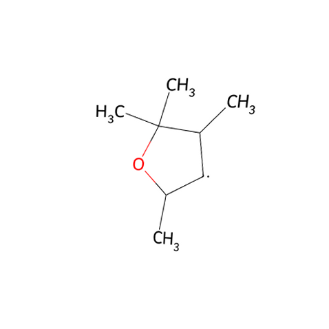 CC1[CH]C(C)C(C)(C)O1